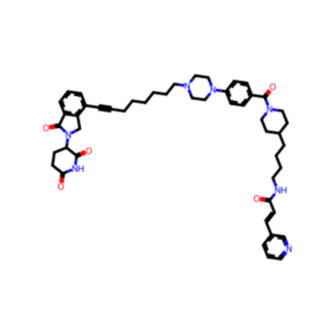 O=C(/C=C/c1cccnc1)NCCCCC1CCN(C(=O)c2ccc(N3CCN(CCCCCCC#Cc4cccc5c4CN(C4CCC(=O)NC4=O)C5=O)CC3)cc2)CC1